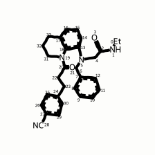 CCNC(=O)CN(Cc1ccccc1)c1cccc2c1N(C(=O)CCc1ccc(C#N)cc1)CCC2